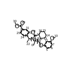 CCN(Oc1cccc(OC)c1)C1CCCCC1C(=O)N[C@@H](C)c1ccc(C(=O)OC)cc1